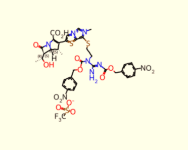 C[C@@H](O)[C@H]1C(=O)N2C(C(=O)O)=C(c3c[n+]4cn(C)c(SCCN(C(=O)OCc5ccc([N+](=O)[O-])cc5)C(N)=NC(=O)OCc5ccc([N+](=O)[O-])cc5)c4s3)[C@H](C)[C@H]12.O=S(=O)([O-])C(F)(F)F